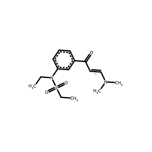 CCN(c1cccc(C(=O)/C=C/N(C)C)c1)S(=O)(=O)CC